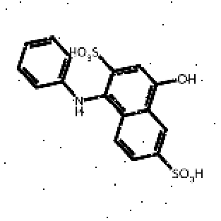 O=S(=O)(O)c1ccc2c(Nc3ccccc3)c(S(=O)(=O)O)cc(O)c2c1